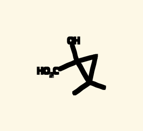 CC1(C)CC1(O)C(=O)O